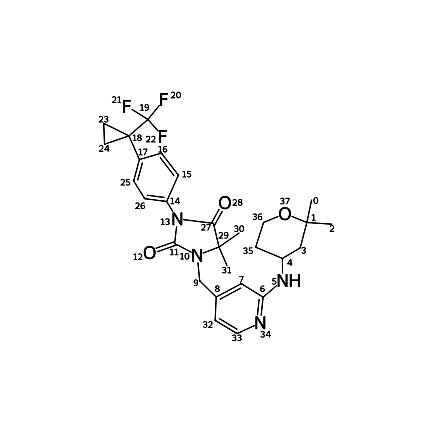 CC1(C)CC(Nc2cc(CN3C(=O)N(c4ccc(C5(C(F)(F)F)CC5)cc4)C(=O)C3(C)C)ccn2)CCO1